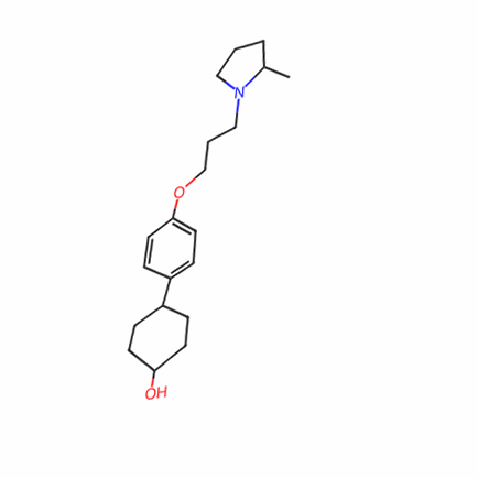 CC1CCCN1CCCOc1ccc(C2CCC(O)CC2)cc1